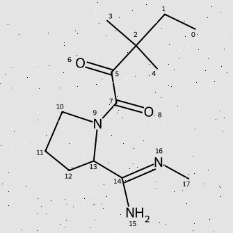 CCC(C)(C)C(=O)C(=O)N1CCCC1/C(N)=N/C